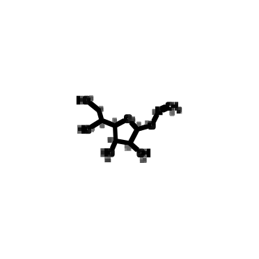 C=NOC1OC(C(O)CO)C(O)C1O